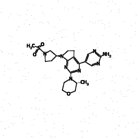 C[C@@H]1COCCN1c1nc(-c2cnc(N)nc2)c2c(n1)N([C@H]1CCN(S(C)(=O)=O)C1)CC2